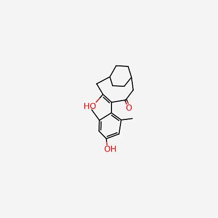 Cc1cc(O)cc(C)c1/C1=C(\O)CC2CCC(CC2)CC1=O